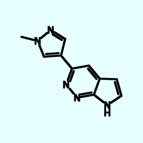 Cn1cc(-c2cc3cc[nH]c3nn2)cn1